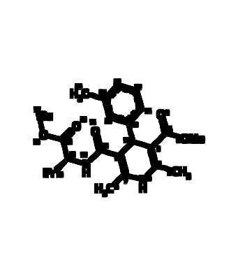 COC(=O)C1=C(C)NC(C)=C(C(=O)N[C@H](C(=O)OC(C)(C)C)C(C)C)C1c1cccc(C)c1